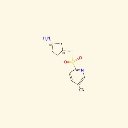 N#Cc1ccc(S(=O)(=O)C[C@@H]2CC[C@H](N)C2)nc1